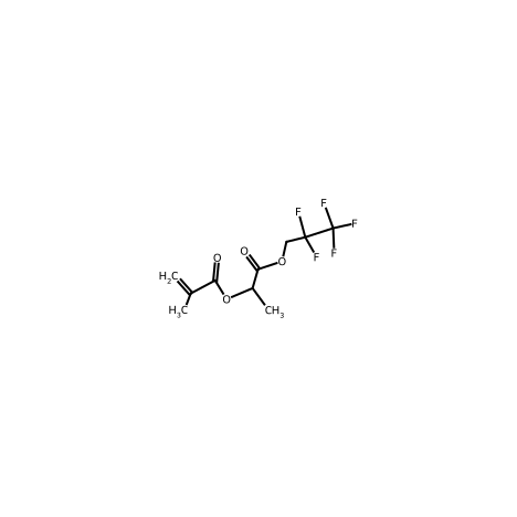 C=C(C)C(=O)OC(C)C(=O)OCC(F)(F)C(F)(F)F